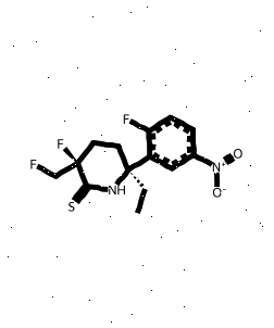 CC[C@@]1(c2cc([N+](=O)[O-])ccc2F)CC[C@@](F)(CF)C(=S)N1